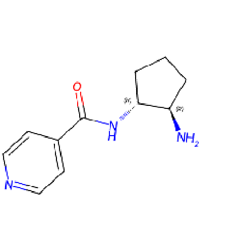 N[C@@H]1CCC[C@H]1NC(=O)c1ccncc1